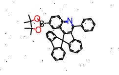 CC1(C)OB(c2ccc3nc(-c4ccccc4)c4c(c3c2)C2(c3ccccc3-c3ccccc32)c2ccccc2-4)OC1(C)C